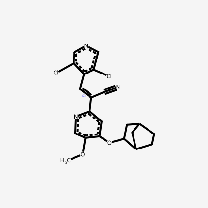 COc1cnc(/C(C#N)=C/c2c(Cl)cncc2Cl)cc1OC1CC2CCC1C2